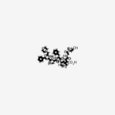 C#CCN(C)C(=O)CNC(=O)CC(C(=O)O)[C@](C)(CI)C(=O)[C@H](CC(C)C)NC(=O)[C@H](Cc1ccccc1)NC(=O)[C@H](CC(C)C)NC(=O)[C@H](CCc1ccccc1)NC(=O)CN1CCOCC1